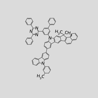 CC1C=C(n2c3ccccc3c3cc(-c4ccc5c(c4)c4cc6c(cc4n5-c4cc(-c5ccccc5)cc(-c5nc(-c7ccccc7)nc(-c7ccccc7)n5)c4)C(C)(C)c4c-6ccc5ccccc45)ccc32)C=CC1